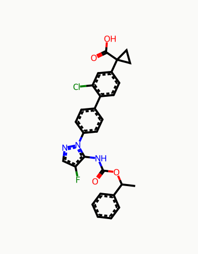 CC(OC(=O)Nc1c(F)cnn1-c1ccc(-c2ccc(C3(C(=O)O)CC3)cc2Cl)cc1)c1ccccc1